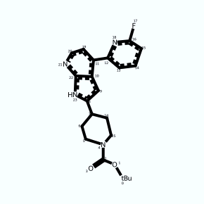 CC(C)(C)OC(=O)N1CCC(c2cc3c(-c4cccc(F)n4)ccnc3[nH]2)CC1